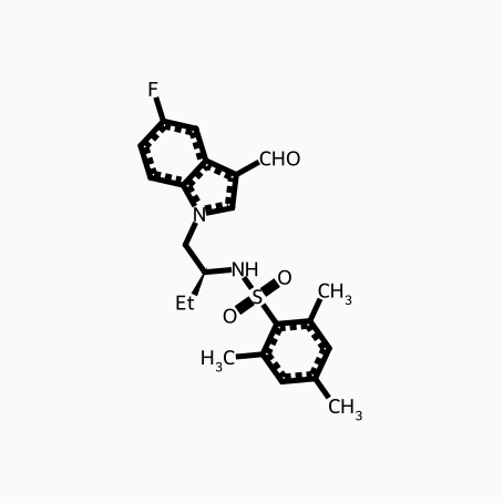 CC[C@@H](Cn1cc(C=O)c2cc(F)ccc21)NS(=O)(=O)c1c(C)cc(C)cc1C